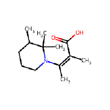 CC(C(=O)O)=C(C)N1CCCC(C)C1(C)C